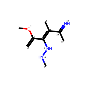 C=C(OC)/C(NNC)=C(\C)C(C)=N